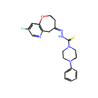 Fc1cnc2c(c1)OCC/C(=N/NC(=S)N1CCN(c3ccccc3)CC1)C2